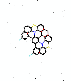 Fc1cccc(-c2cc(-c3cccc(F)c3)c(N3c4ccccc4Sc4ccccc43)c(C3CCCCC3)c2N2c3ccccc3Sc3ccccc32)c1